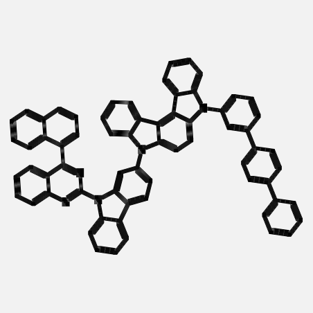 c1ccc(-c2ccc(-c3cccc(-n4c5ccccc5c5c6c7ccccc7n(-c7ccc8c9ccccc9n(-c9nc(-c%10cccc%11ccccc%10%11)c%10ccccc%10n9)c8c7)c6ccc54)c3)cc2)cc1